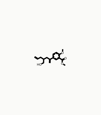 C=CCC(CO)CC(=C)c1ccc(OC)c(C(=O)OC)c1